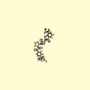 CS(=O)(=O)c1ccc(C(=O)N[C@@H]2CCC[C@@H]2NC(=O)CNC(=O)c2cccc(C(F)(F)F)c2)cc1